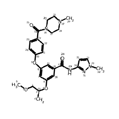 COC[C@H](C)Oc1cc(Oc2ccc(C(=O)N3CCN(C)CC3)cc2)cc(C(=O)Nc2ccn(C)n2)c1